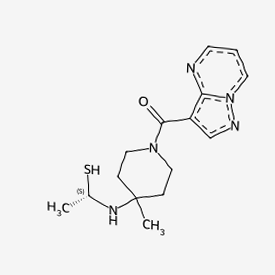 C[C@H](S)NC1(C)CCN(C(=O)c2cnn3cccnc23)CC1